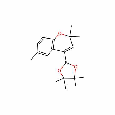 Cc1ccc2c(c1)C(B1OC(C)(C)C(C)(C)O1)=CC(C)(C)O2